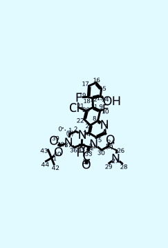 C[C@@H]1CN2c3c4c(nc5c(F)c(-c6c(O)cccc6F)c(Cl)cc35)O[C@@H](CN(C)C)CN4C(=C=O)[C@H]2CN1C(=O)OC(C)(C)C